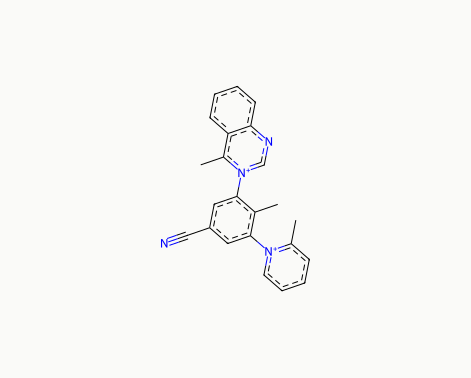 Cc1c(-[n+]2ccccc2C)cc(C#N)cc1-[n+]1cnc2ccccc2c1C